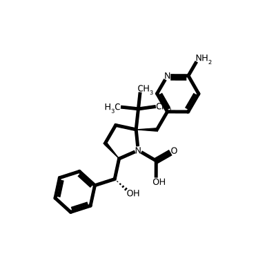 CC(C)(C)[C@@]1(Cc2ccc(N)nc2)CC[C@H]([C@H](O)c2ccccc2)N1C(=O)O